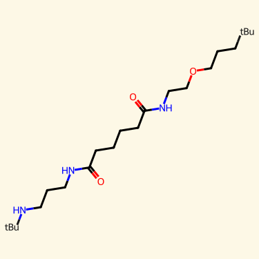 CC(C)(C)CCCOCCNC(=O)CCCCC(=O)NCCCNC(C)(C)C